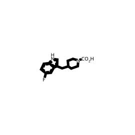 O=C(O)N1CCC(Cc2c[nH]c3ccc(F)cc23)CC1